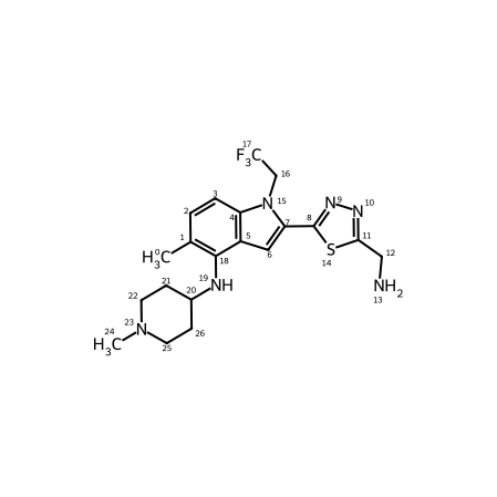 Cc1ccc2c(cc(-c3nnc(CN)s3)n2CC(F)(F)F)c1NC1CCN(C)CC1